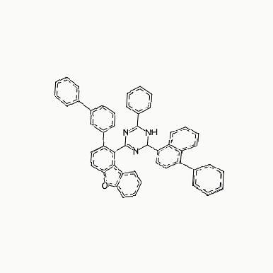 c1ccc(C2=NC(c3c(-c4cccc(-c5ccccc5)c4)ccc4oc5ccccc5c34)=NC(c3ccc(-c4ccccc4)c4ccccc34)N2)cc1